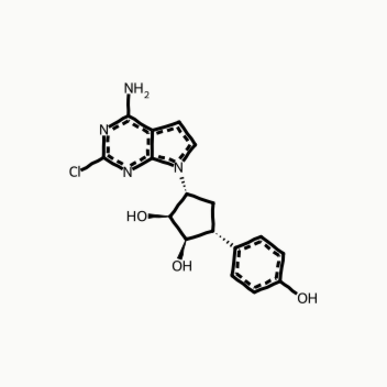 Nc1nc(Cl)nc2c1ccn2[C@@H]1C[C@H](c2ccc(O)cc2)[C@@H](O)[C@H]1O